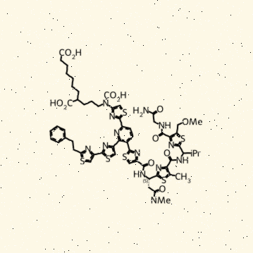 CNC(=O)C[C@H](NC(=O)c1csc(-c2ccc(-c3nc(N(CCCC(CCCCCCC(=O)O)C(=O)O)C(=O)O)cs3)nc2-c2csc(-c3csc(CCc4ccccc4)n3)n2)n1)c1nc(C(=O)NC(c2nc(C(=O)NCC(N)=O)c(COC)s2)C(C)C)c(C)s1